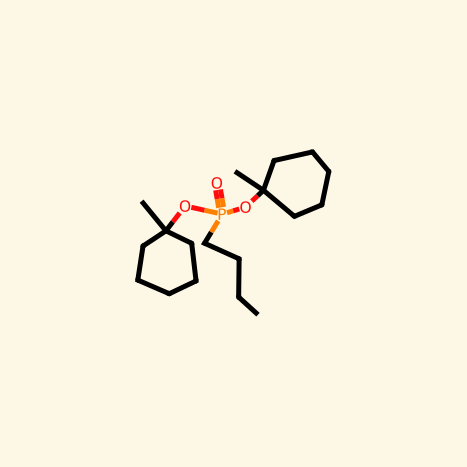 CCCCP(=O)(OC1(C)CCCCC1)OC1(C)CCCCC1